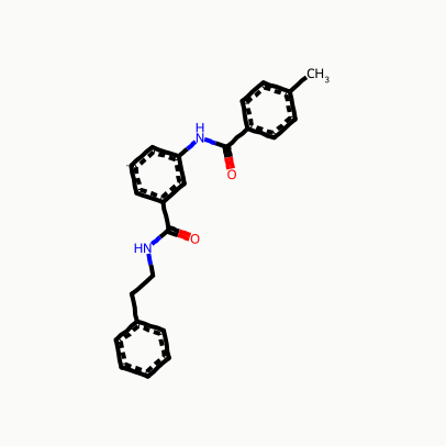 Cc1ccc(C(=O)Nc2c[c]cc(C(=O)NCCc3ccccc3)c2)cc1